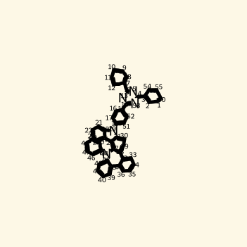 c1ccc(-c2nc(-c3ccccc3)nc(-c3ccc(-n4c5ccccc5c5c6c(ccc54)-c4ccccc4-c4ccccc4N6c4ccccc4)cc3)n2)cc1